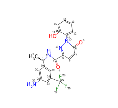 C[C@@H](NC(=O)c1ccc(=O)n(-c2ccccc2O)n1)c1cc(N)cc(C(F)(F)F)c1